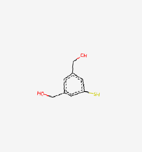 OCc1cc(S)cc(CO)c1